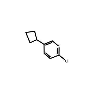 Clc1ccc([C]2CCC2)cn1